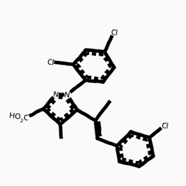 C/C(=C\c1cccc(Cl)c1)c1c(C)c(C(=O)O)nn1-c1ccc(Cl)cc1Cl